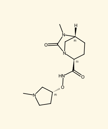 CN1CC[C@@H](ONC(=O)[C@@H]2CC[C@@H]3CN2C(=O)N3C)C1